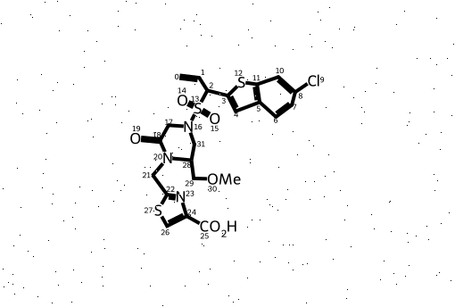 C=CC(c1cc2ccc(Cl)cc2s1)S(=O)(=O)N1CC(=O)N(Cc2nc(C(=O)O)cs2)C(COC)C1